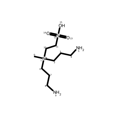 C[N+](CCCN)(CCCN)CCS(=O)(=O)O